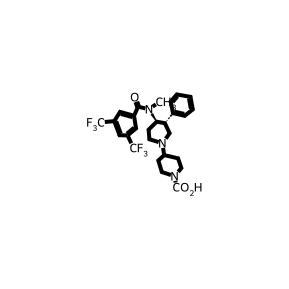 CN(C(=O)c1cc(C(F)(F)F)cc(C(F)(F)F)c1)[C@@H]1CCN(C2CCN(C(=O)O)CC2)C[C@H]1c1ccccc1